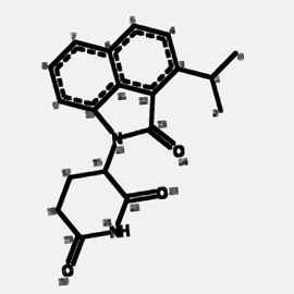 CC(C)c1ccc2cccc3c2c1C(=O)N3C1CCC(=O)NC1=O